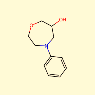 OC1COCCN(c2ccccc2)C1